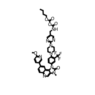 CCCCOC(=O)OC(=O)NCc1cnc(N2CCN(c3ccc(-n4c(=O)n(C)c5cnc6ccc(-c7ccc(OC)nc7)cc6c54)cc3C(F)(F)F)CC2)nc1